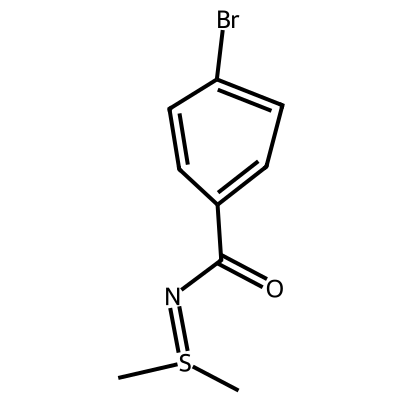 CS(C)=NC(=O)c1ccc(Br)cc1